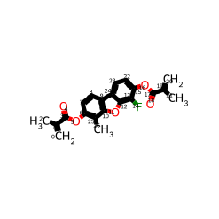 C=C(C)C(=O)Oc1ccc2c(oc3c(F)c(OC(=O)C(=C)C)ccc32)c1C